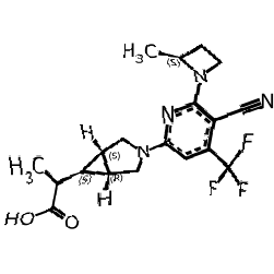 CC(C(=O)O)[C@H]1[C@@H]2CN(c3cc(C(F)(F)F)c(C#N)c(N4CC[C@@H]4C)n3)C[C@@H]21